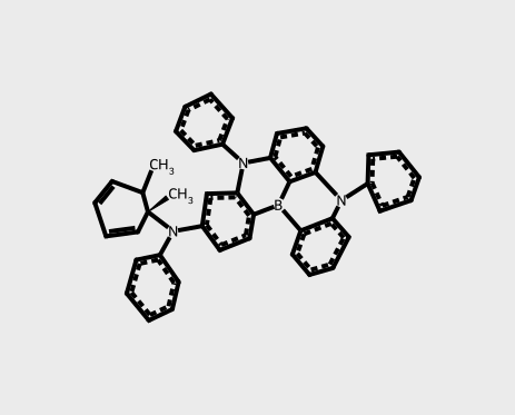 CC1C=CC=C[C@@]1(C)N(c1ccccc1)c1ccc2c(c1)N(c1ccccc1)c1cccc3c1B2c1ccccc1N3c1ccccc1